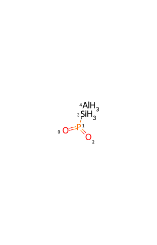 O=P(=O)[SiH3].[AlH3]